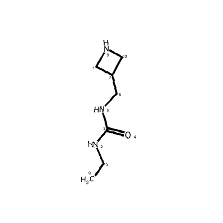 CCNC(=O)NCC1CNC1